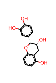 Oc1ccc([C@H]2Oc3cccc(O)c3C[C@H]2O)cc1O